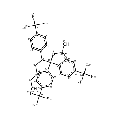 CCCCC(c1ccc(C(F)(F)F)cc1)C(OB(O)O)(c1ccc(C(F)(F)F)cc1)c1ccc(C(F)(F)F)cc1